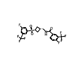 O=C(NC[C@H]1C[C@H](S(=O)(=O)c2cc(F)cc(C(F)(F)F)c2)C1)c1ccc(F)c(C(F)(F)F)c1